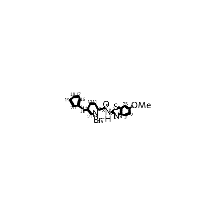 COc1ccc2nc(NC(=O)c3ccc([I+]c4ccccc4)cn3)sc2c1.[Br-]